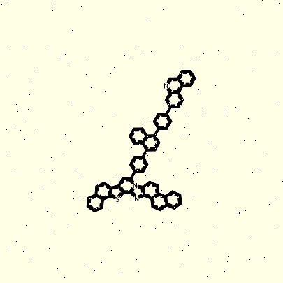 c1ccc2c(c1)cnc1cc(-c3ccc(-c4ccc(-c5ccc(-c6cc7c8ccc9ccccc9c8sc7c7nc8c9ccc%10ccccc%10c9ccc8n67)cc5)c5ccccc45)cc3)ccc12